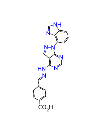 O=C(O)c1ccc(C=NNc2ncnc3c2cnn3-c2cccc3[nH]cnc23)cc1